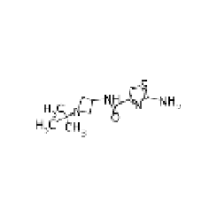 CC(C)(C)N1CC(NC(=O)c2csc(N)n2)C1